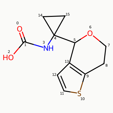 O=C(O)NC1(C2OCCc3sccc32)CC1